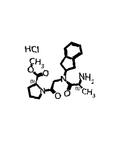 COC(=O)[C@@H]1CCCN1C(=O)CN(C(=O)[C@H](C)N)C1Cc2ccccc2C1.Cl